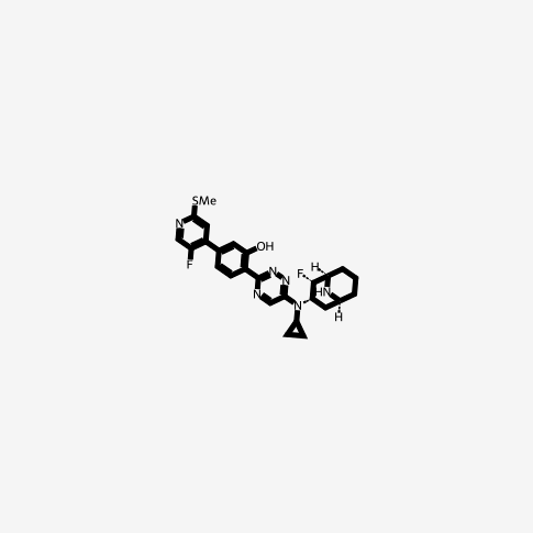 CSc1cc(-c2ccc(-c3ncc(N(C4CC4)[C@H]4C[C@@H]5CCC[C@@H](N5)[C@H]4F)nn3)c(O)c2)c(F)cn1